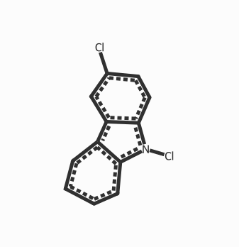 Clc1ccc2c(c1)c1ccccc1n2Cl